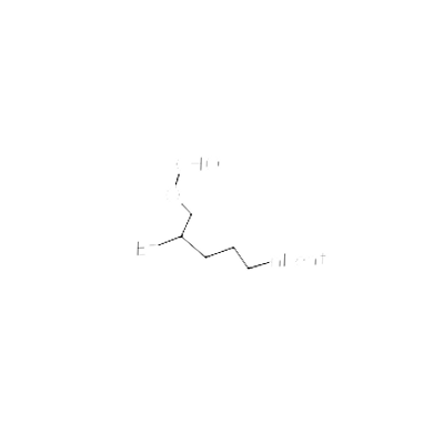 CCCCCCCCC(CC)COC=O